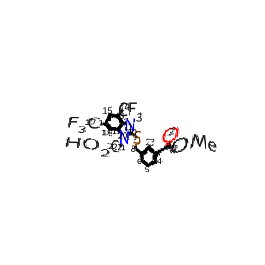 COC(=O)c1cccc(CSc2nc3c(C(F)(F)F)cc(C(F)(F)F)cc3n2CC(=O)O)c1